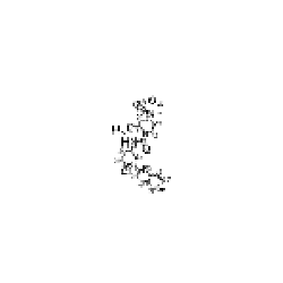 Cc1cc(N2CCOCS2(=O)=O)ccc1C(=O)Nc1ccc(Cl)c(-c2ccc3cnccc3n2)c1